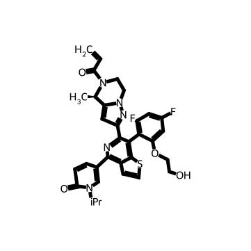 C=CC(=O)N1CCn2nc(-c3nc(-c4ccc(=O)n(C(C)C)c4)c4ccsc4c3-c3c(F)cc(F)cc3OCCO)cc2[C@H]1C